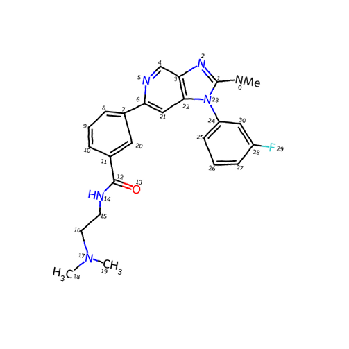 CNc1nc2cnc(-c3cccc(C(=O)NCCN(C)C)c3)cc2n1-c1cccc(F)c1